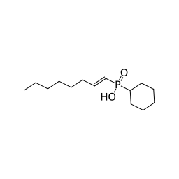 CCCCCCC=CP(=O)(O)C1CCCCC1